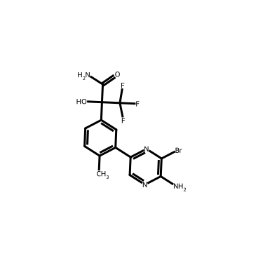 Cc1ccc(C(O)(C(N)=O)C(F)(F)F)cc1-c1cnc(N)c(Br)n1